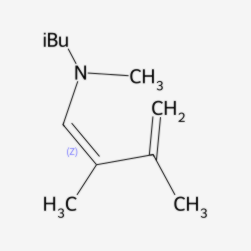 C=C(C)/C(C)=C\N(C)C(C)CC